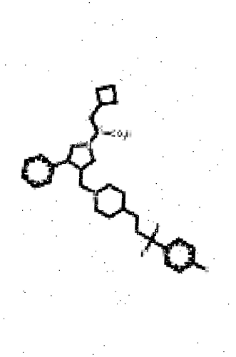 O=C(O)[C@H](CC1CCC1)N1CC(CN2CCC(CCC(F)(F)c3ccc(F)cc3)CC2)C(c2ccccc2)C1